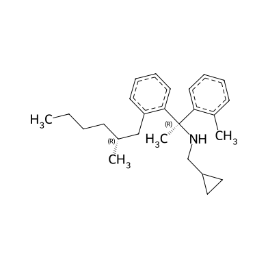 CCCC[C@@H](C)Cc1ccccc1[C@](C)(NCC1CC1)c1ccccc1C